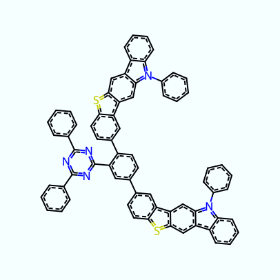 c1ccc(-c2nc(-c3ccccc3)nc(-c3cc(-c4ccc5sc6cc7c8ccccc8n(-c8ccccc8)c7cc6c5c4)ccc3-c3ccc4sc5cc6c7ccccc7n(-c7ccccc7)c6cc5c4c3)n2)cc1